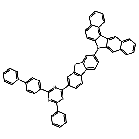 c1ccc(-c2ccc(-c3nc(-c4ccccc4)nc(-c4ccc5c(c4)sc4cc(-n6c7cc8ccccc8cc7c7c8ccccc8ccc76)ccc45)n3)cc2)cc1